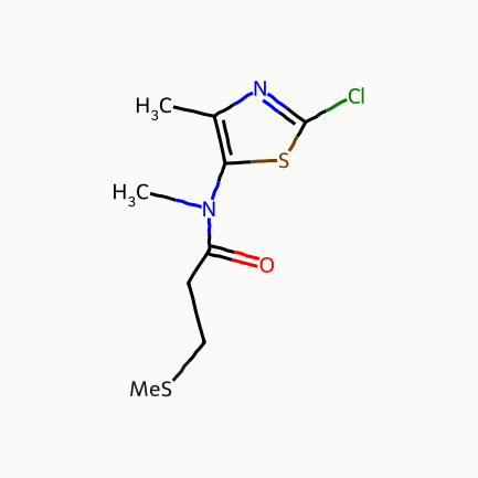 CSCCC(=O)N(C)c1sc(Cl)nc1C